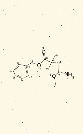 COC(N)CC(C)(C)C(=O)OCc1ccccc1